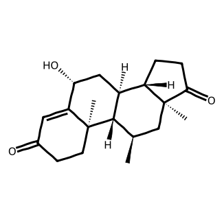 C[C@@H]1C[C@]2(C)C(=O)CC[C@H]2[C@@H]2C[C@@H](O)C3=CC(=O)CC[C@]3(C)[C@H]21